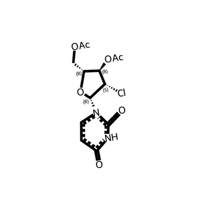 CC(=O)OC[C@H]1O[C@@H](n2ccc(=O)[nH]c2=O)[C@@H](Cl)[C@@H]1OC(C)=O